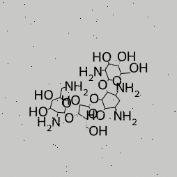 NCC1O[C@H](O[C@@H]2[C@H](O)[C@H](OC3C(O)[C@H](N)CC(N)[C@H]3O[C@H]3OC(CO)[C@@H](O)C(O)C3N)O[C@@H]2CO)C(N)C(O)[C@@H]1O